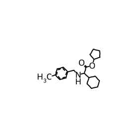 Cc1ccc(CNC(C(=O)OC2CCCC2)C2CCCCC2)cc1